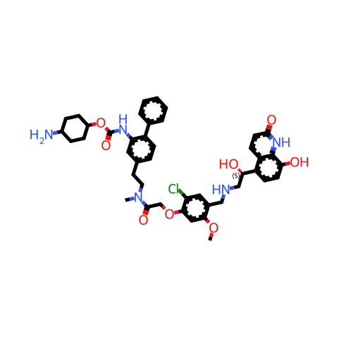 COc1cc(OCC(=O)N(C)CCc2ccc(-c3ccccc3)c(NC(=O)OC3CCC(N)CC3)c2)c(Cl)cc1CNC[C@@H](O)c1ccc(O)c2[nH]c(=O)ccc12